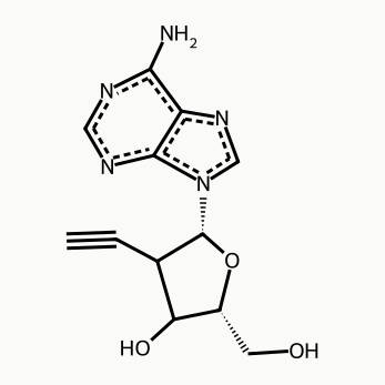 C#CC1C(O)[C@@H](CO)O[C@H]1n1cnc2c(N)ncnc21